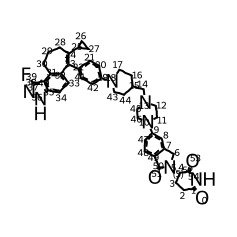 O=C1CC[C@H](N2Cc3cc(N4CCN(CC5CCN(c6ccc(C7=C(C8CC8)CCCc8c7ccc7[nH]nc(F)c87)cc6)CC5)CC4)ccc3C2=O)C(=O)N1